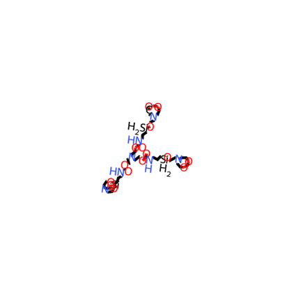 O=C(NCCC[SiH2]OCCN1CCOCOCC1)OCCN(CCOC(=O)NCCC[SiH2]OCCN1CCOCOCC1)CCOC(=O)NCCC[Si]12OCCN(CCO1)CCO2